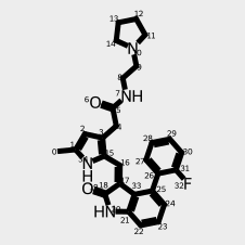 Cc1cc(CC(=O)NCCN2CCCC2)c(/C=C2\C(=O)Nc3cccc(-c4ccccc4F)c32)[nH]1